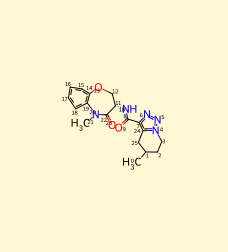 CC1CCn2nnc(C(=O)N[C@H]3COc4ccccc4N(C)C3=O)c2C1